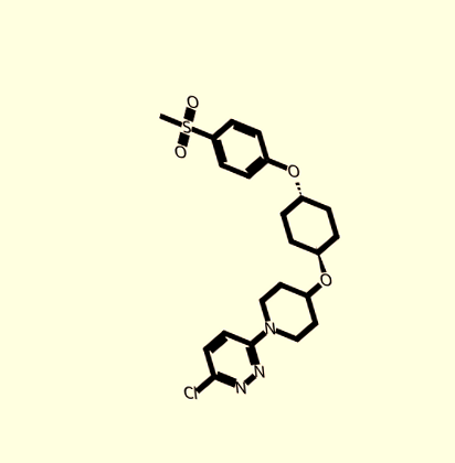 CS(=O)(=O)c1ccc(O[C@H]2CC[C@H](OC3CCN(c4ccc(Cl)nn4)CC3)CC2)cc1